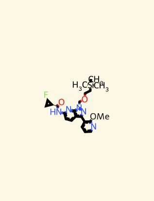 COc1ncccc1-c1nn(COCC[Si](C)(C)C)c2nc(NC(=O)[C@@H]3C[C@@H]3F)ccc12